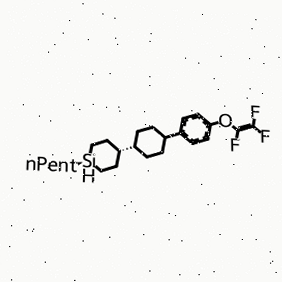 CCCCC[Si@H]1CC[C@H](C2CCC(c3ccc(OC(F)=C(F)F)cc3)CC2)CC1